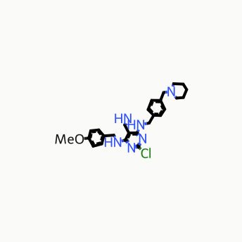 COc1ccc(CNc2nc(Cl)nc(NCc3ccc(CN4CCCCC4)cc3)c2C=N)cc1